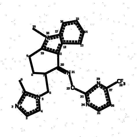 Cc1nccn1CC1CCc2c(c3ccccc3n2C)C1=NOc1nccc(C(F)(F)F)n1